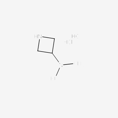 CCN(C)C1CNC1.Cl.Cl